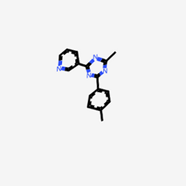 Cc1ccc(-c2nc(C)nc(-c3cccnc3)n2)cc1